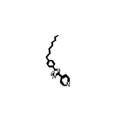 CCCCCCCCc1ccc(-c2nc(-c3ccncc3)no2)cc1